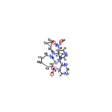 O=[N+]([O-])c1cncnc1N(C1CC1)C1CCC[CH]CN1N(c1ncncc1[N+](=O)[O-])C1CC1